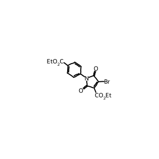 CCOC(=O)C1=C(Br)C(=O)N(c2ccc(C(=O)OCC)cc2)C1=O